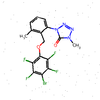 Cc1cccc(-n2nnn(C)c2=O)c1COc1c(F)c(F)c(Br)c(F)c1F